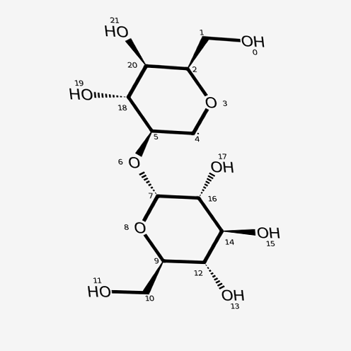 OC[C@H]1O[CH][C@@H](O[C@H]2O[C@H](CO)[C@@H](O)[C@H](O)[C@H]2O)[C@H](O)[C@H]1O